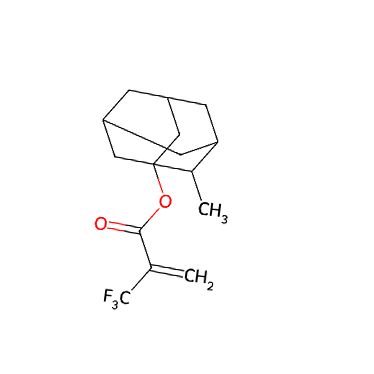 C=C(C(=O)OC12CC3CC(CC(C3)C1C)C2)C(F)(F)F